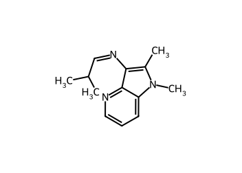 Cc1c(/N=C\C(C)C)c2ncccc2n1C